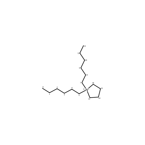 CCCCCC[N+]1(CCCCCC)CCCC1